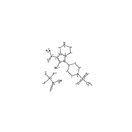 CS(=O)(=O)N1CCC(c2c(C#N)c(C(N)=O)c3n2CCNC3)CC1.O=C(O)C(F)(F)F